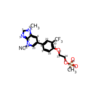 CN1CN=C2C1=CC(c1ccc(OCCOS(C)(=O)=O)c(C(F)(F)F)c1)=CN2C#N